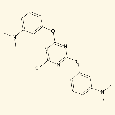 CN(C)c1cccc(Oc2nc(Cl)nc(Oc3cccc(N(C)C)c3)n2)c1